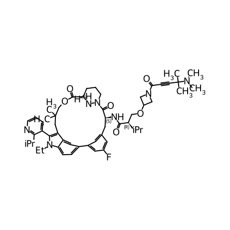 CCn1c(-c2cccnc2C(C)C)c2c3cc(ccc31)-c1cc(F)cc(c1)C[C@H](NC(=O)[C@@H](COC1CN(C(=O)C#CC(C)(C)N(C)C)C1)C(C)C)C(=O)N1CCC[C@H](N1)C(=O)OCC(C)(C)C2